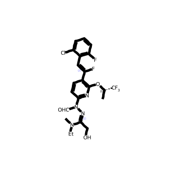 CCN(C)/C(CO)=N\N(C=O)c1ccc(/C(F)=C/c2c(F)cccc2Cl)c(O[C@@H](C)C(F)(F)F)n1